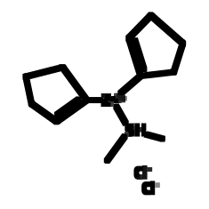 C[SiH](C)[Zr+2]([C]1=CCCC1)[C]1=CCCC1.[Cl-].[Cl-]